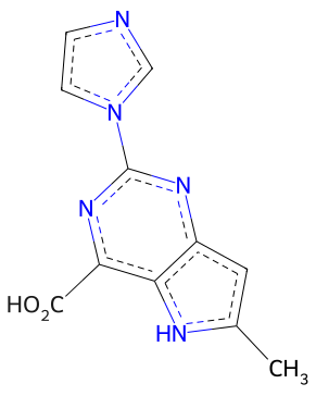 Cc1cc2nc(-n3ccnc3)nc(C(=O)O)c2[nH]1